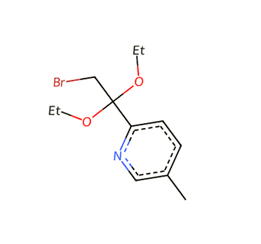 CCOC(CBr)(OCC)c1ccc(C)cn1